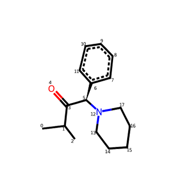 CC(C)C(=O)[C@@H](c1ccccc1)N1CCCCC1